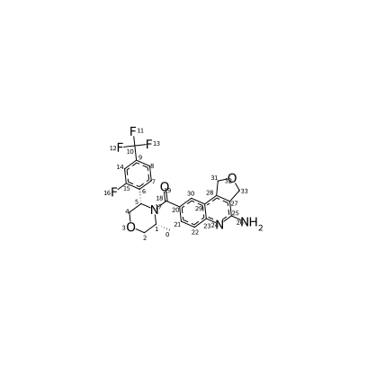 C[C@@H]1COC[C@H](c2ccc(C(F)(F)F)cc2F)N1C(=O)c1ccc2nc(N)c3c(c2c1)COC3